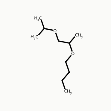 CCCCO[C](C)COC(C)C